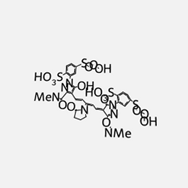 CNCOC1=NN(c2cc(SOOO)ccc2S(=O)(=O)O)C(=O)/C1=C\C=C(C=Cc1c(C(=O)NC)nn(-c2cc(SOOO)ccc2S(=O)(=O)O)c1O)N1CCCC1=O